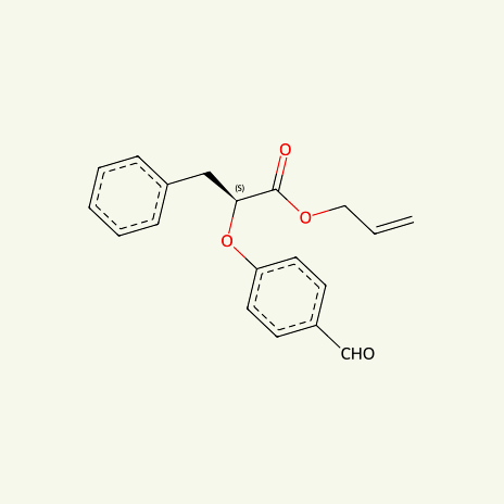 C=CCOC(=O)[C@H](Cc1ccccc1)Oc1ccc(C=O)cc1